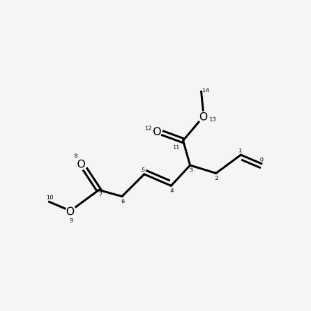 C=CCC(/C=C/CC(=O)OC)C(=O)OC